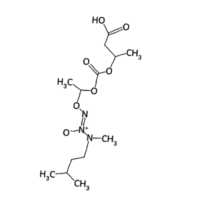 CC(C)CCN(C)[N+]([O-])=NOC(C)OC(=O)OC(C)CC(=O)O